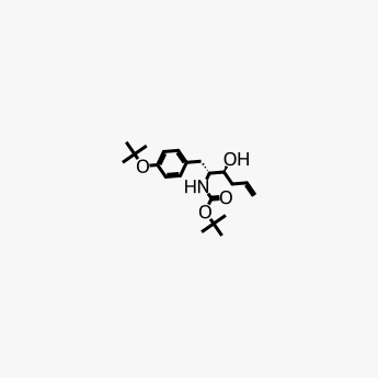 C=CC[C@H](O)[C@@H](Cc1ccc(OC(C)(C)C)cc1)NC(=O)OC(C)(C)C